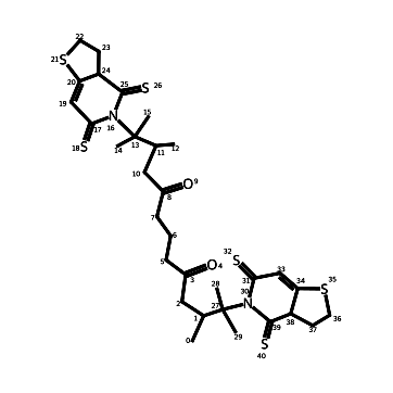 CC(CC(=O)CCCC(=O)CC(C)C(C)(C)N1C(=S)C=C2SCCC2C1=S)C(C)(C)N1C(=S)C=C2SCCC2C1=S